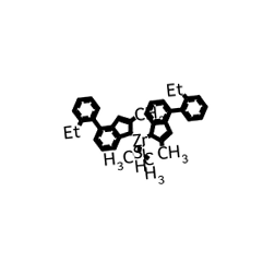 CCc1ccccc1-c1cccc2c1C=C(C)[CH]2[Zr]([CH]1C(C)=Cc2c(-c3ccccc3CC)cccc21)[SiH](C)C